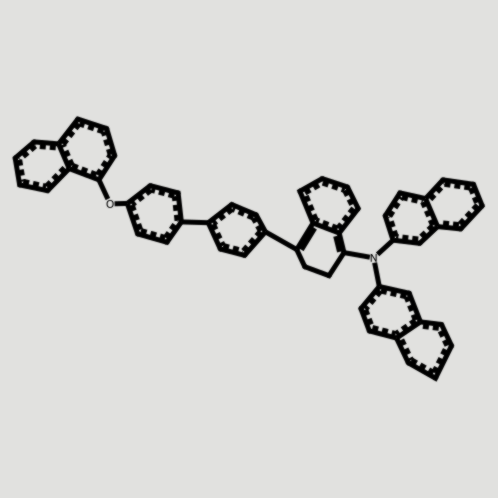 c1ccc2c(c1)=C(c1ccc(-c3ccc(Oc4cccc5ccccc45)cc3)cc1)CCC=2N(c1ccc2ccccc2c1)c1ccc2ccccc2c1